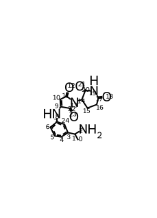 CC(N)c1cccc(NC2=CC(=O)N(C3CCC(=O)NC3=O)C2=O)c1